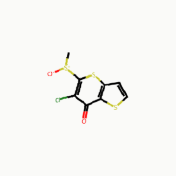 C[S+]([O-])c1sc2ccsc2c(=O)c1Cl